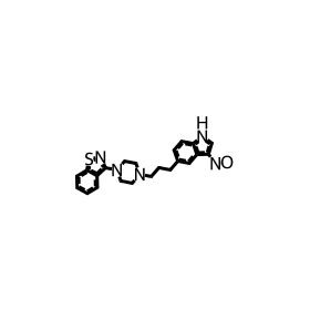 O=Nc1c[nH]c2ccc(CCCN3CCN(c4nsc5ccccc45)CC3)cc12